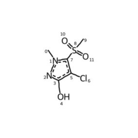 Cn1nc(O)c(Cl)c1S(C)(=O)=O